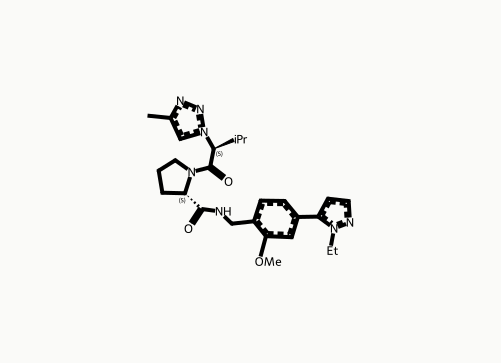 CCn1nccc1-c1ccc(CNC(=O)[C@@H]2CCCN2C(=O)[C@H](C(C)C)n2cc(C)nn2)c(OC)c1